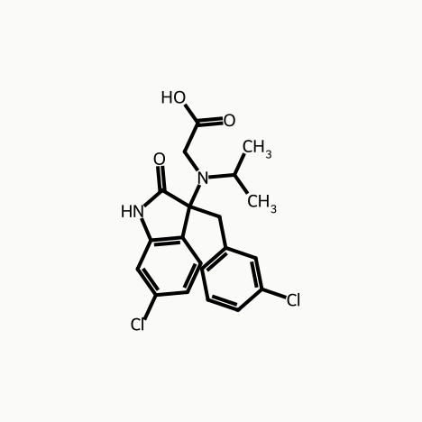 CC(C)N(CC(=O)O)C1(Cc2cccc(Cl)c2)C(=O)Nc2cc(Cl)ccc21